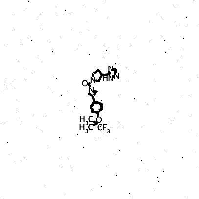 CC(C)(Oc1ccc(C2CN(C(=O)N3CCC(c4ncn[nH]4)C3)C2)cc1)C(F)(F)F